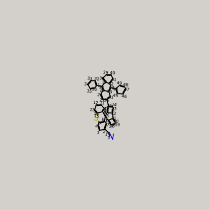 N#Cc1ccc2c(c1)C1(c3ccccc3S2)c2ccccc2-c2ccc(-c3ccc4c(-c5ccccc5)c5ccccc5c(-c5ccccc5)c4c3)cc21